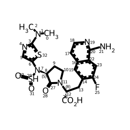 CN(C)c1ncc(N([C@H]2CCN([C@H](Cc3cc4ccnc(N)c4cc3F)C(=O)O)C2=O)[SH](=O)=O)s1